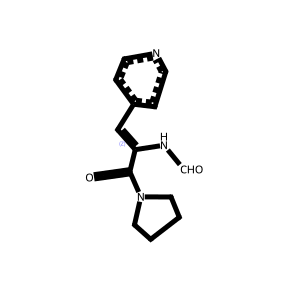 O=CN/C(=C\c1ccncc1)C(=O)N1CCCC1